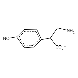 N#Cc1ccc(C(CN)C(=O)O)cc1